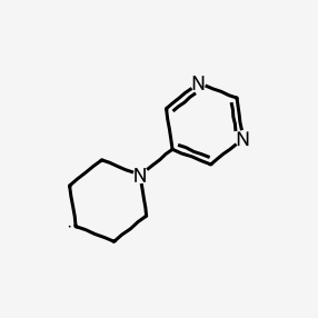 [CH]1CCN(c2cncnc2)CC1